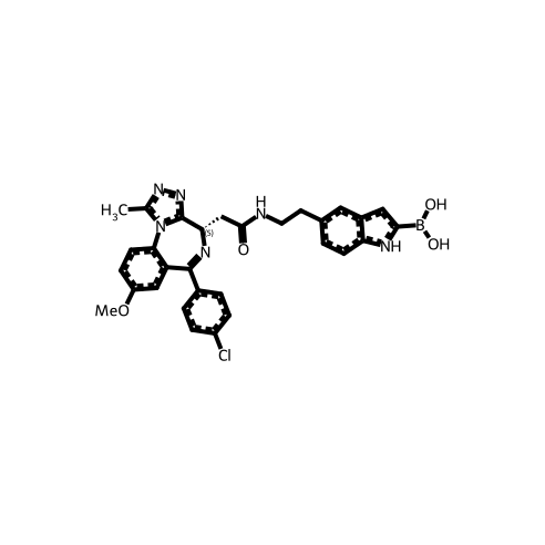 COc1ccc2c(c1)C(c1ccc(Cl)cc1)=N[C@@H](CC(=O)NCCc1ccc3[nH]c(B(O)O)cc3c1)c1nnc(C)n1-2